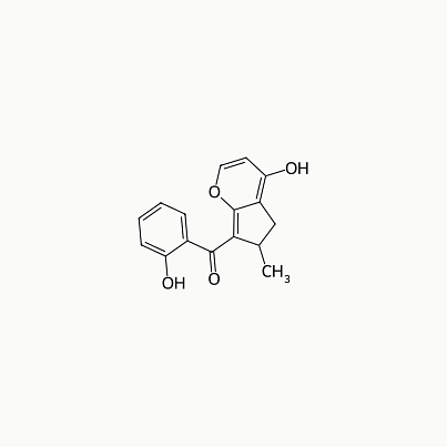 CC1CC2=C(O)C=COC2=C1C(=O)c1ccccc1O